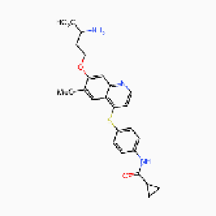 COc1cc2c(Sc3ccc(NC(=O)C4CC4)cc3)ccnc2cc1OCCC(N)C(=O)O